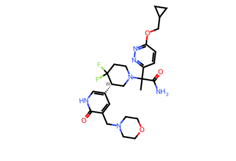 CC(C(N)=O)(c1ccc(OCC2CC2)nn1)N1CCC(F)(F)[C@@H](c2c[nH]c(=O)c(CN3CCOCC3)c2)C1